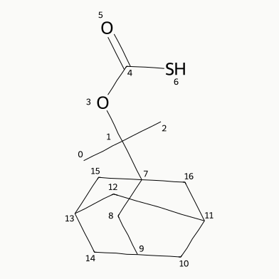 CC(C)(OC(=O)S)C12CC3CC(CC(C3)C1)C2